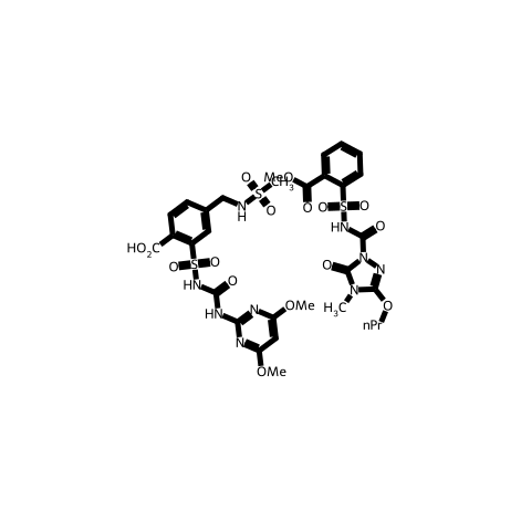 CCCOc1nn(C(=O)NS(=O)(=O)c2ccccc2C(=O)OC)c(=O)n1C.COc1cc(OC)nc(NC(=O)NS(=O)(=O)c2cc(CNS(C)(=O)=O)ccc2C(=O)O)n1